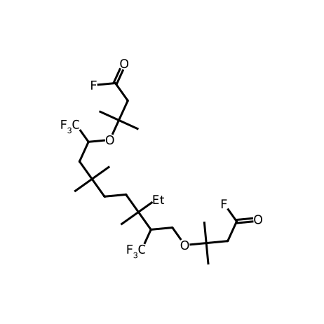 CCC(C)(CCC(C)(C)CC(OC(C)(C)CC(=O)F)C(F)(F)F)C(COC(C)(C)CC(=O)F)C(F)(F)F